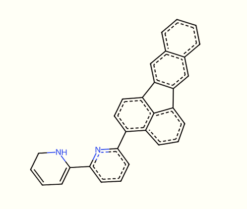 C1=CCNC(c2cccc(-c3ccc4c5c(cccc35)-c3cc5ccccc5cc3-4)n2)=C1